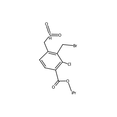 CC(C)OC(=O)c1ccc(C[SH](=O)=O)c(CBr)c1Cl